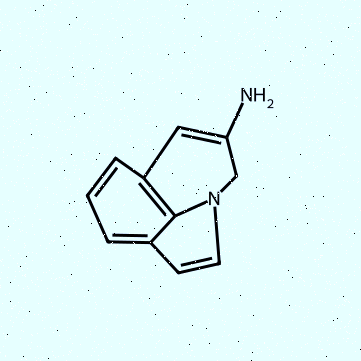 NC1=Cc2cccc3ccn(c23)C1